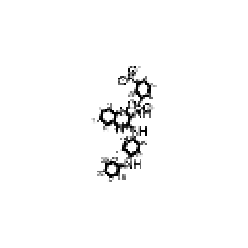 O=[N+]([O-])c1cccc(S(=O)(=O)Nc2nc3ccccc3nc2Nc2ccc(Nc3ccccc3)cc2)c1